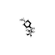 CCCCN1CCC(NS(=O)(=O)N(C)C)CC1